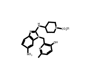 CCOC(=O)N1CCC(Nc2nc3ccc([N+](=O)[O-])cc3n2Cc2nc(C)ccc2O)CC1